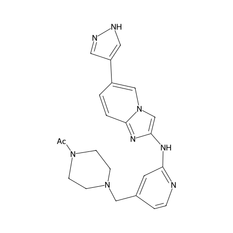 CC(=O)N1CCN(Cc2ccnc(Nc3cn4cc(-c5cn[nH]c5)ccc4n3)c2)CC1